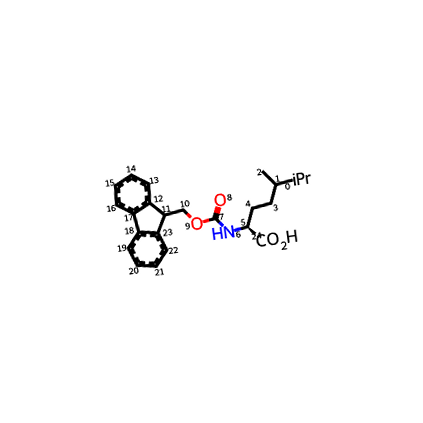 CC(C)C(C)CC[C@H](NC(=O)OCC1c2ccccc2-c2ccccc21)C(=O)O